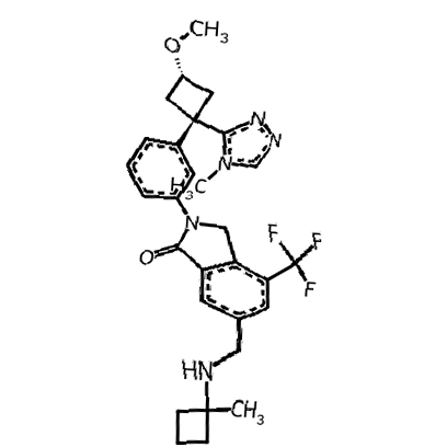 CO[C@H]1C[C@@](c2cccc(N3Cc4c(cc(CNC5(C)CCC5)cc4C(F)(F)F)C3=O)c2)(c2nncn2C)C1